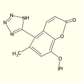 Cc1cc(OC(C)C)c2oc(=O)ccc2c1-c1nnn[nH]1